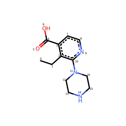 CCc1c(C(=O)O)ccnc1N1CCNCC1